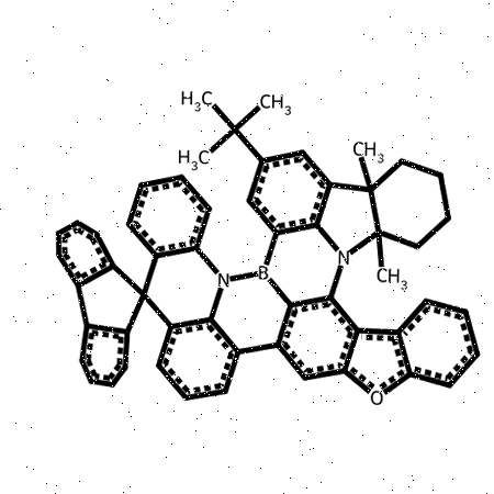 CC(C)(C)c1cc2c3c(c1)C1(C)CCCCC1(C)N3c1c3c(cc4oc5ccccc5c14)-c1cccc4c1N(B23)c1ccccc1C41c2ccccc2-c2ccccc21